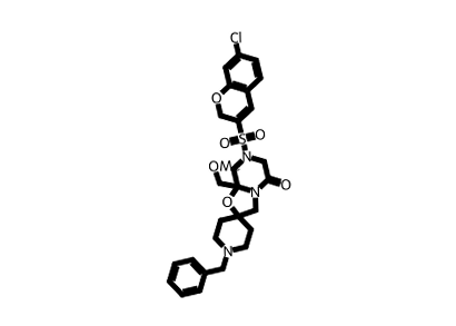 COCC12CN(S(=O)(=O)C3=Cc4ccc(Cl)cc4OC3)CC(=O)N1CC1(CCN(Cc3ccccc3)CC1)O2